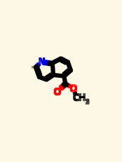 COC(=O)c1cccc2n[c]ccc12